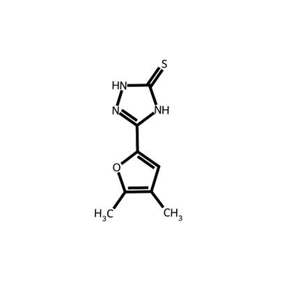 Cc1cc(-c2n[nH]c(=S)[nH]2)oc1C